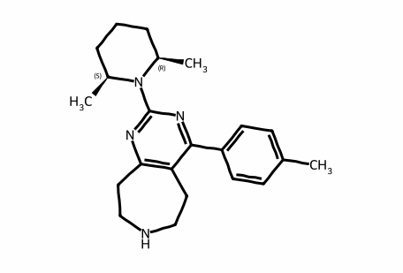 Cc1ccc(-c2nc(N3[C@H](C)CCC[C@@H]3C)nc3c2CCNCC3)cc1